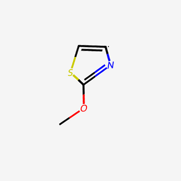 COc1n[c]cs1